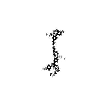 C[C@@H](c1ccc(-c2cn([C@H]3CC[C@H](O)CC3)c3nc(NCCC(F)(F)F)ncc23)cc1)N1CCN(CCCOCCCc2ccc3c(c2)n(C)c(=O)n3C2CCC(=O)NC2=O)CC1